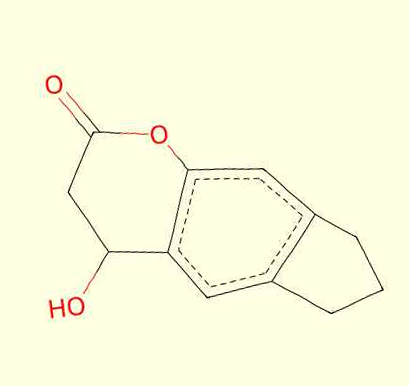 O=C1CC(O)c2cc3c(cc2O1)CCC3